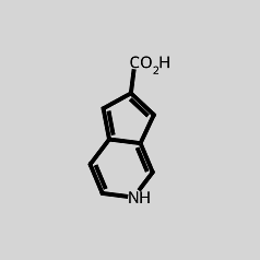 O=C(O)c1cc2cc[nH]cc-2c1